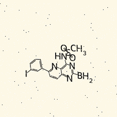 Bc1nc(NS(C)(=O)=O)c2nc(-c3cccc(I)c3)ccc2n1